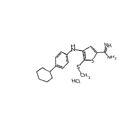 CSc1sc(C(=N)N)cc1Nc1ccc(C2CCCCC2)cc1.Cl